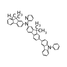 CC1(C)c2ccccc2-c2ccc(N(c3ccc4c(c3)C(C)(C)c3cc(-c5ccc6c(c5)c5ccccc5n6-c5ccccc5)ccc3-4)c3ccccn3)cc21